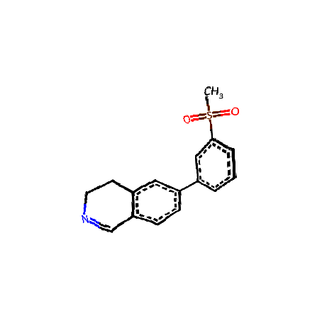 CS(=O)(=O)c1cccc(-c2ccc3c(c2)CCN=C3)c1